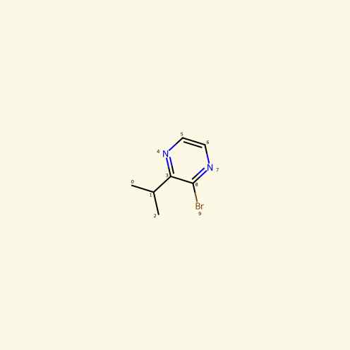 CC(C)c1nccnc1Br